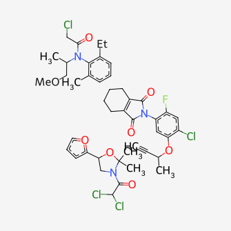 C#CC(C)Oc1cc(N2C(=O)C3=C(CCCC3)C2=O)c(F)cc1Cl.CC1(C)OC(c2ccco2)CN1C(=O)C(Cl)Cl.CCc1cccc(C)c1N(C(=O)CCl)C(C)COC